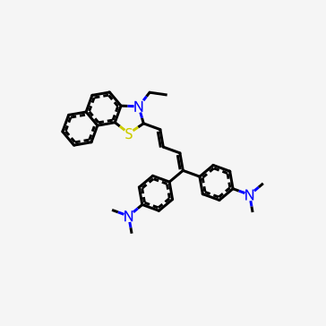 CCN1c2ccc3ccccc3c2SC1C=CC=C(c1ccc(N(C)C)cc1)c1ccc(N(C)C)cc1